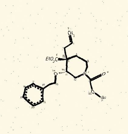 C=CC[C@]1(C(=O)OCC)CCN(C(=O)OC(C)(C)C)C[C@@H]1OCc1ccccc1